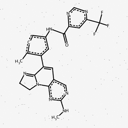 CNc1ncc2c(n1)N1CCN=C1C(c1cc(NC(=O)c3cc(C(F)(F)F)ncn3)ccc1C)=C2